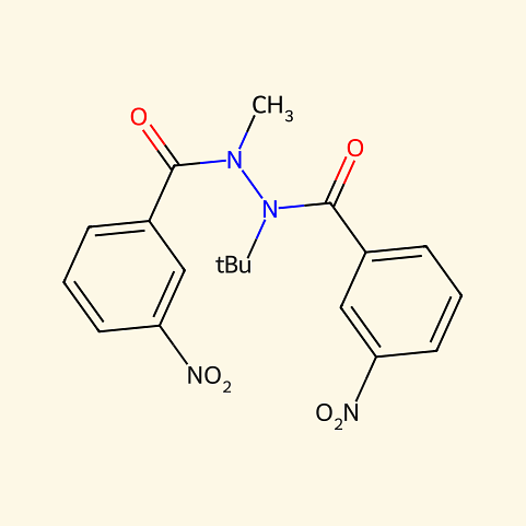 CN(C(=O)c1cccc([N+](=O)[O-])c1)N(C(=O)c1cccc([N+](=O)[O-])c1)C(C)(C)C